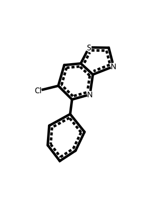 Clc1cc2scnc2nc1-c1ccccc1